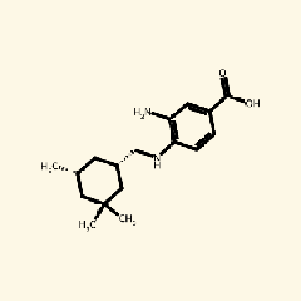 C[C@@H]1C[C@H](CNc2ccc(C(=O)O)cc2N)CC(C)(C)C1